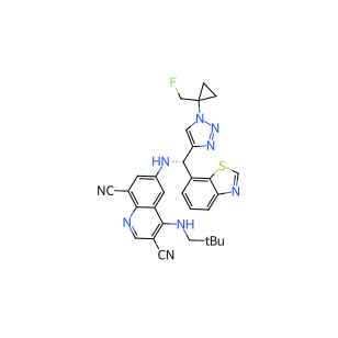 CC(C)(C)CNc1c(C#N)cnc2c(C#N)cc(N[C@H](c3cn(C4(CF)CC4)nn3)c3cccc4ncsc34)cc12